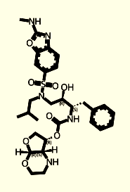 CNc1nc2ccc(S(=O)(=O)N(CC(C)C)C[C@@H](O)[C@H](Cc3ccccc3)NC(=O)O[C@H]3CO[C@H]4OCCN[C@H]43)cc2o1